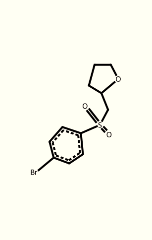 O=S(=O)(CC1CCCO1)c1ccc(Br)cc1